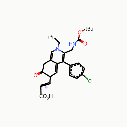 CC(C)CN1C=C2CC(=O)C(/C=C/C(=O)O)C=C2C(c2ccc(Cl)cc2)=C1CNC(=O)OC(C)(C)C